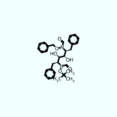 CC(C)(C)ON(C=O)[C@@H](Cc1ccccc1)[C@@H](O)[C@@H](O)[C@H](Cc1ccccc1)N(C=O)OCc1ccccc1